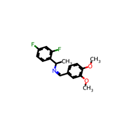 COc1ccc(/C=N\C(C)c2ccc(F)cc2F)cc1OC